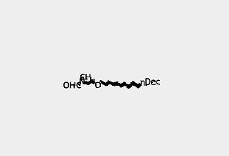 CCCCCCCCCCCCCCCCCCCCOCCN(C)C=O